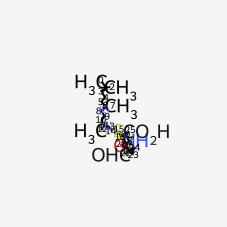 CC(C)=CCC/C(C)=C/CC/C(C)=C/CSCC(NC(=O)C1(C=O)CC1)C(=O)O